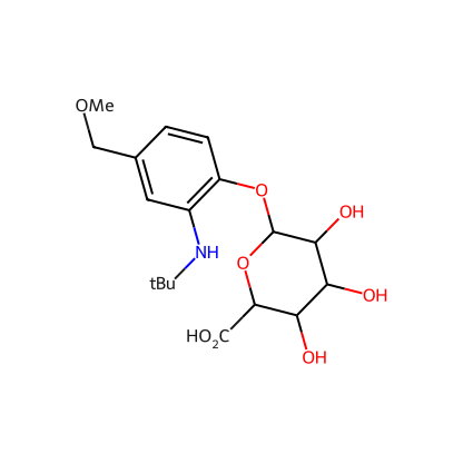 COCc1ccc(OC2OC(C(=O)O)C(O)C(O)C2O)c(NC(C)(C)C)c1